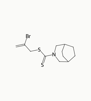 C=C(Br)CSC(=S)N1CC2CCC(CC2)C1